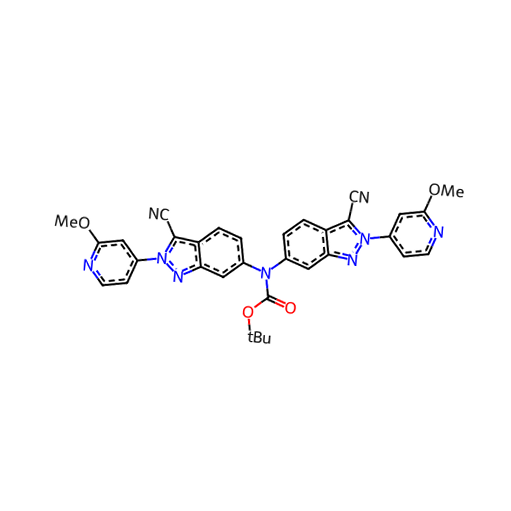 COc1cc(-n2nc3cc(N(C(=O)OC(C)(C)C)c4ccc5c(C#N)n(-c6ccnc(OC)c6)nc5c4)ccc3c2C#N)ccn1